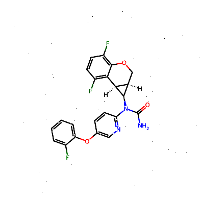 NC(=O)N(c1ccc(Oc2ccccc2F)cn1)[C@@H]1[C@@H]2COc3c(F)ccc(F)c3[C@@H]21